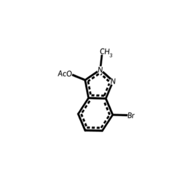 CC(=O)Oc1c2cccc(Br)c2nn1C